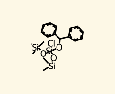 C[Si](C)(C)O[Si](Cl)(OC(c1ccccc1)c1ccccc1)O[Si](C)(C)C